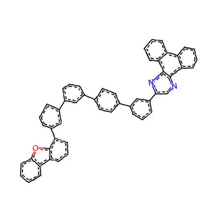 c1cc(-c2ccc(-c3cccc(-c4cnc5c6ccccc6c6ccccc6c5n4)c3)cc2)cc(-c2cccc(-c3cccc4c3oc3ccccc34)c2)c1